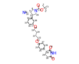 CC(C)(C)OC(=O)N1C[C@@H](C#N)[C@H](c2cccc(OCCCCOc3ccc([C@H]4CCC(=O)NC4=O)cc3)c2)C1